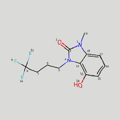 Cn1c(=O)n(CCCC(F)(F)F)c2c(O)cccc21